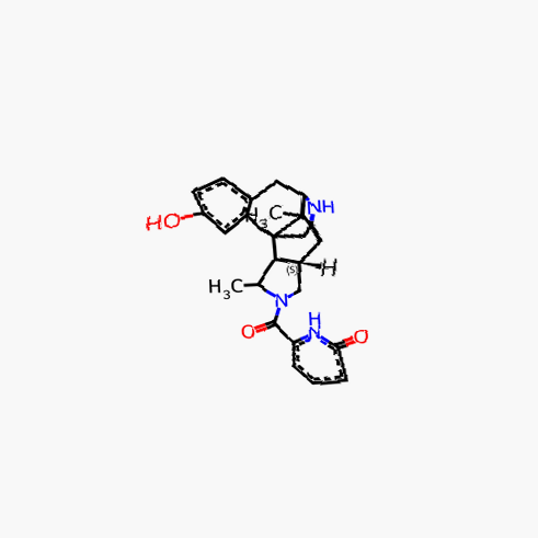 CC1C2[C@@H](CN1C(=O)c1cccc(=O)[nH]1)CC1(C)C3Cc4ccc(O)cc4C21CCN3